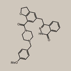 COc1ccc(CN2CCN(C(=O)c3cc(Cc4n[nH]c(=O)c5ccccc45)cc4c3OCC4)CC2)cc1